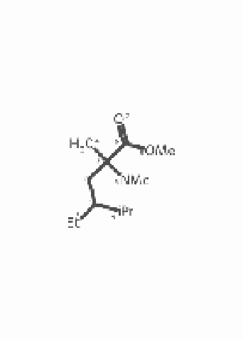 CCC(CC(C)(NC)C(=O)OC)C(C)C